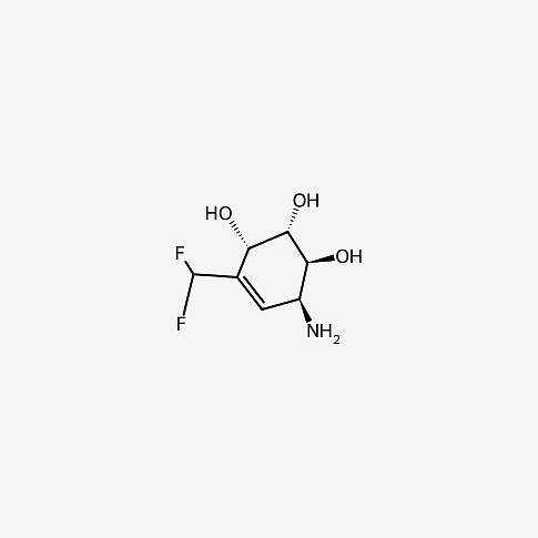 N[C@H]1C=C(C(F)F)[C@H](O)[C@H](O)[C@H]1O